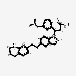 CN(C)Cc1cccc(C(CC(=O)O)n2ncc3cc(CCc4ccc5c(n4)NCCC5)ccc32)c1